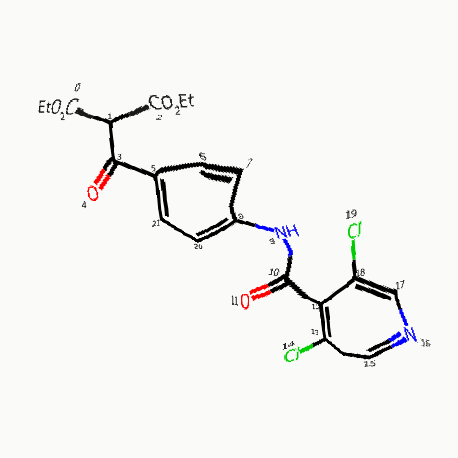 CCOC(=O)C(C(=O)OCC)C(=O)c1ccc(NC(=O)c2c(Cl)cncc2Cl)cc1